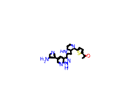 CC(=O)c1ccc(-c2nccc3[nH]c(-c4n[nH]c5ncc(-c6cncc(N)c6)cc45)cc23)s1